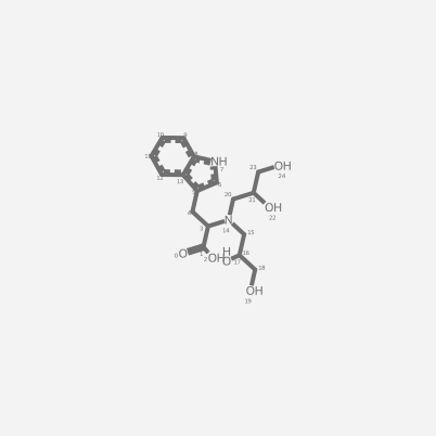 O=C(O)C(Cc1c[nH]c2ccccc12)N(CC(O)CO)CC(O)CO